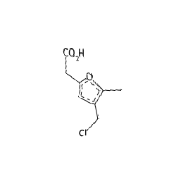 Cc1oc(CC(=O)O)cc1CCl